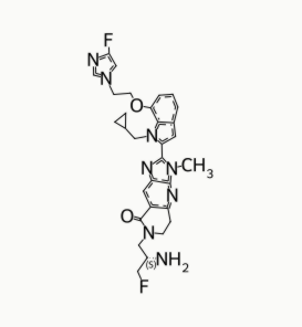 Cn1c(-c2cc3cccc(OCCn4cnc(F)c4)c3n2CC2CC2)nc2cc3c(nc21)CCN(C[C@H](N)CF)C3=O